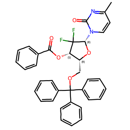 Cc1ccn([C@@H]2O[C@H](COC(c3ccccc3)(c3ccccc3)c3ccccc3)[C@H](OC(=O)c3ccccc3)C2(F)F)c(=O)n1